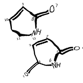 O=C1C=CC(=O)N1.O=C1C=CCN1